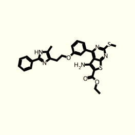 CCOC(=O)c1sc2nc(SC)nc(-c3cccc(OCCc4nc(-c5ccccc5)[nH]c4C)c3)c2c1N